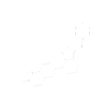 O=C(c1cnn2c(-c3ccc4[nH]c(=O)ccc4c3)cccc12)N1CCCCC1